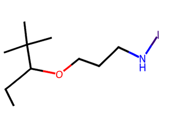 CCC(OCCCNI)C(C)(C)C